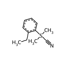 CCc1ccccc1S(C)(C)C#N